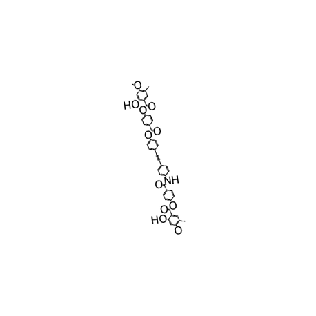 COc1cc(O)c(C(=O)Oc2ccc(C(=O)Nc3ccc(C#Cc4ccc(OC(=O)c5ccc(OC(=O)c6cc(C)c(OC)cc6O)cc5)cc4)cc3)cc2)cc1C